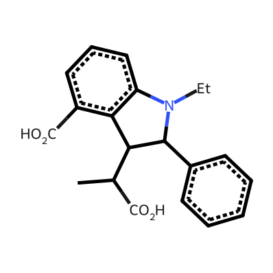 CCN1c2cccc(C(=O)O)c2C(C(C)C(=O)O)C1c1ccccc1